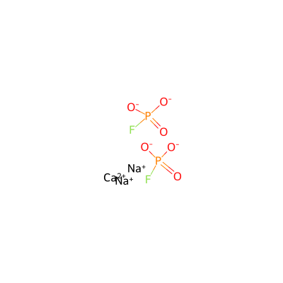 O=P([O-])([O-])F.O=P([O-])([O-])F.[Ca+2].[Na+].[Na+]